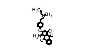 C=CCN(C)CCc1ccc(Oc2cc(O)c3c(c2N)C(=O)c2ccccc2C3=O)cc1